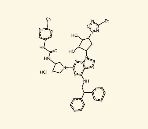 CCc1nnn(C2CC(n3cnc4c(NCC(c5ccccc5)c5ccccc5)nc(N5CCC(NC(=O)Nc6ccc(C#N)nc6)C5)nc43)C(O)C2O)n1.Cl